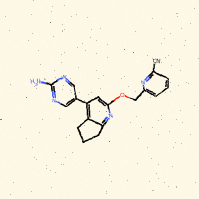 N#Cc1cccc(COc2cc(-c3cnc(N)nc3)c3c(n2)CCC3)n1